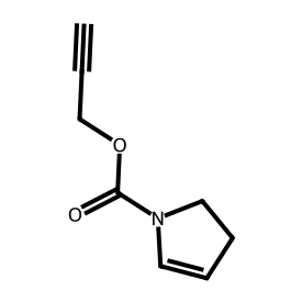 C#CCOC(=O)N1C=CCC1